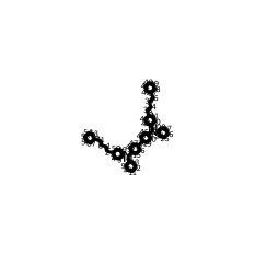 C(C=Cc1ccc(N(c2ccccc2)c2ccc(-c3ccc(N(c4ccccc4)c4ccc(C=CC=Cc5ccccc5)cc4)cc3)cc2)cc1)=Cc1ccccc1